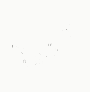 O=C(C1CC(c2ncc(N3CC[C@@H](Oc4ccc(OCC(F)(F)F)nc4)C3=O)cn2)C1)N1CCCC1